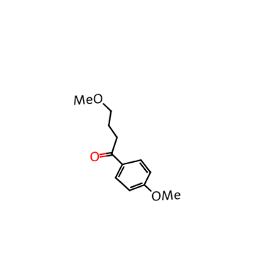 COCCCC(=O)c1ccc(OC)cc1